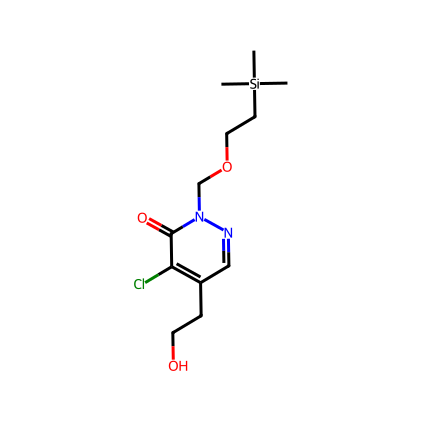 C[Si](C)(C)CCOCn1ncc(CCO)c(Cl)c1=O